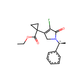 CCOC(=O)C1(C2=C(F)C(=O)N([C@@H](C)c3ccccc3)C2)CC1